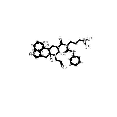 C=CCN1CC(C(=O)N(CCCN(C)C)C(=O)Nc2ccccc2)C[C@@H]2c3cccc4[nH]cc(c34)C[C@H]21